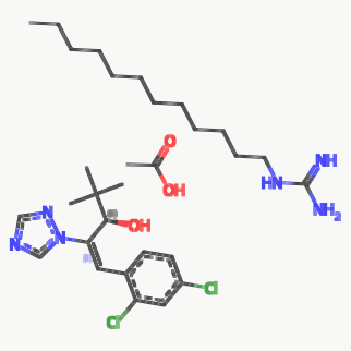 CC(=O)O.CC(C)(C)[C@@H](O)/C(=C\c1ccc(Cl)cc1Cl)n1cncn1.CCCCCCCCCCCCNC(=N)N